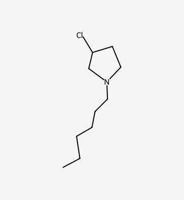 CCCCCCN1CCC(Cl)C1